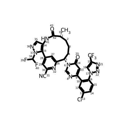 C[C@@H]1CCC[C@H](n2cnc(-c3cc(Cl)ccc3-n3cc(C(F)(F)F)nn3)cc2=O)c2cc(cc(C#N)n2)-c2c(cnn2C(F)F)NC1=O